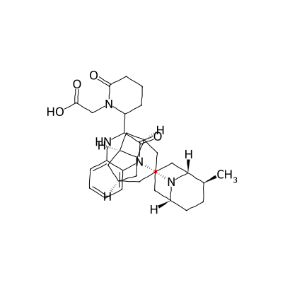 C[C@H]1CC[C@@H]2C[C@H](N3C(=O)C(C4CCCC(=O)N4CC(=O)O)Nc4ccccc43)C[C@H]1N2[C@@H]1C[C@@H]2CC3[C@@H](C2)C[C@H]3C1